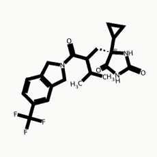 CC(C)C(C[C@]1(C2CC2)NC(=O)NC1=O)C(=O)N1Cc2ccc(C(F)(F)F)cc2C1